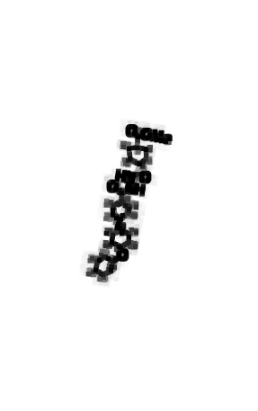 COC(=O)[C@H]1CC[C@H](C(=O)NNC(=O)c2ccc(N3CCC(OC4CCCCC4)CC3)cc2)CC1